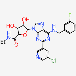 CCNC(=O)C1OC(n2cnc3c(NCc4cccc(F)c4)nc(-c4cncc(Cl)c4)nc32)C(O)C1O